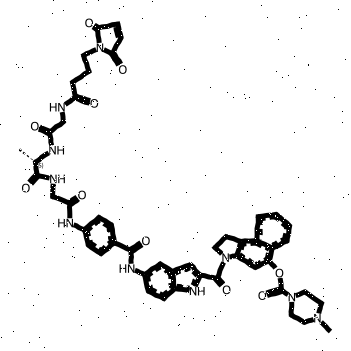 C[C@H](NC(=O)CNC(=O)CCCN1C(=O)C=CC1=O)C(=O)NCC(=O)Nc1ccc(C(=O)Nc2ccc3[nH]c(C(=O)N4CCc5c4cc(OC(=O)N4CCN(C)CC4)c4ccccc54)cc3c2)cc1